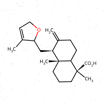 C=C1CCC2[C@](C)(CCC[C@]2(C)C(=O)O)[C@H]1CC1OCC=C1C